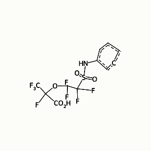 O=C(O)C(F)(OC(F)(F)C(F)(F)S(=O)(=O)Nc1ccccc1)C(F)(F)F